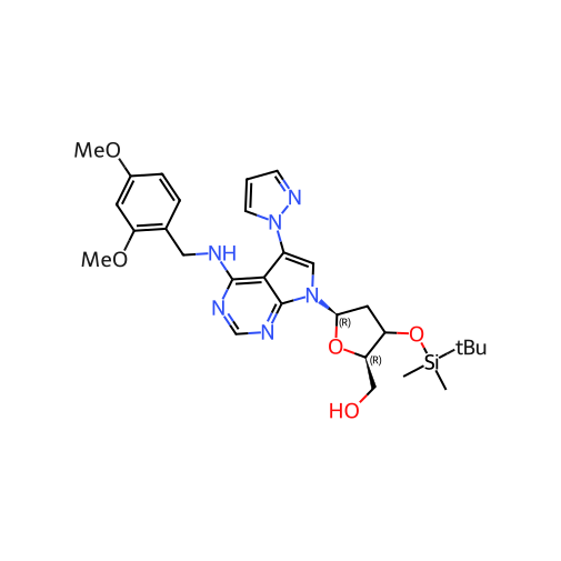 COc1ccc(CNc2ncnc3c2c(-n2cccn2)cn3[C@H]2CC(O[Si](C)(C)C(C)(C)C)[C@@H](CO)O2)c(OC)c1